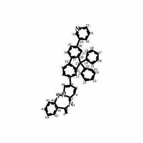 C=C1N=C2C=CC(c3ccc4c(c3)C(c3ccccc3)(c3ccccc3)c3cc(-c5cccnc5)ccc3-4)=CN2Sc2ccccc21